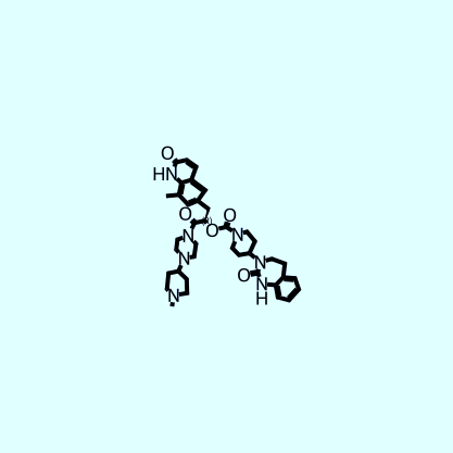 Cc1cc(C[C@@H](OC(=O)N2CCC(N3CCc4ccccc4NC3=O)CC2)C(=O)N2CCN(C3CCN(C)CC3)CC2)cc2ccc(=O)[nH]c12